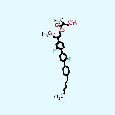 C=C(CO)C(=O)OCCC(COC)c1ccc(-c2ccc(C3CCC(CCCCCC)CC3)c(F)c2)c(F)c1